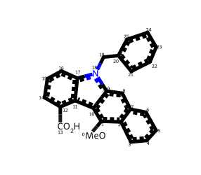 COc1c2ccccc2cc2c1c1c(C(=O)O)cccc1n2Cc1ccccc1